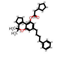 CC1(C)Oc2cc(CCCCc3ccccc3)cc(OC(=O)CC3CCCC3)c2C2=C1CCC2